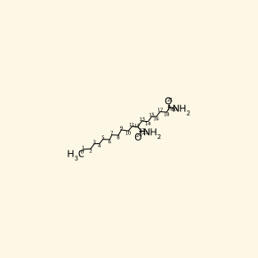 CCCCCCCCCCCCC(CCCCCCC(N)=O)C(N)=O